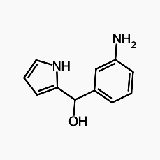 Nc1cccc(C(O)c2ccc[nH]2)c1